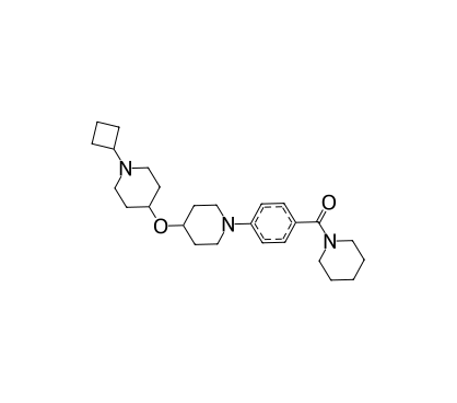 O=C(c1ccc(N2CCC(OC3CCN(C4CCC4)CC3)CC2)cc1)N1CCCCC1